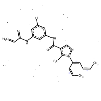 C=CC(=O)Nc1cc(Cl)cc(NC(=O)c2cnn(C(/C=C\C)=C/C=C\C)c2C(F)(F)F)c1